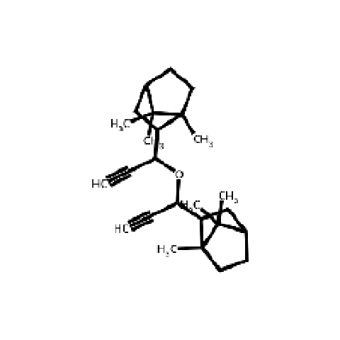 C#CC(OC(C#C)C1CC2CCC1(C)C2(C)C)C1CC2CCC1(C)C2(C)C